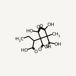 [CH2]CC(C(=O)O)C(C(=O)O)(C(=O)O)C(C)(C(=O)O)C(=O)O